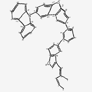 C/C=C\C(C)=C/c1coc2ccc(-c3cccc(-c4ccc5oc6ccc(-n7c8ccccc8c8ccccc87)cc6c5c4)c3)cc12